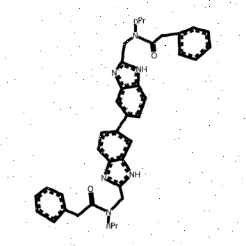 CCCN(Cc1nc2cc(-c3ccc4nc(CN(CCC)C(=O)Cc5ccccc5)[nH]c4c3)ccc2[nH]1)C(=O)Cc1ccccc1